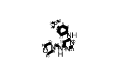 C=P(C)(C)c1ccc(Nc2cc(NCN3CCOCC3)ncn2)cc1